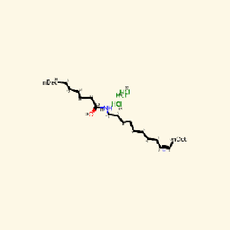 CCCCCCCC/C=C\CCCCCCCCNC(=O)CCCCCCCCCCCCCCC.Cl.Cl.Cl